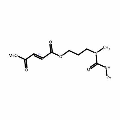 COC(=O)/C=C/C(=O)OCCCN(C)C(=O)NC(C)C